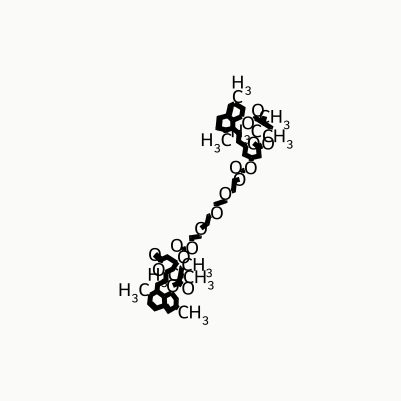 CCC(C)(C)C(=O)OC1CC(C)C=C2C=CC(C)C(CCC3CC(OC(=O)OCCOCCOCCOCCOC(=O)OC4CC(=O)OC(CCC5C(C)C=CC6=CC(C)CC(OC(=O)C(C)(C)CC)C65)C4)CC(=O)O3)C21